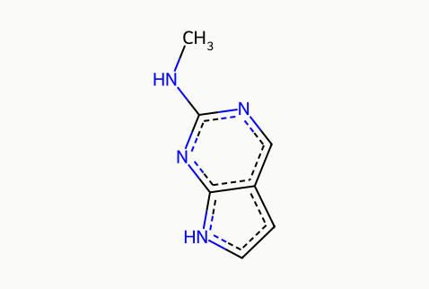 CNc1ncc2cc[nH]c2n1